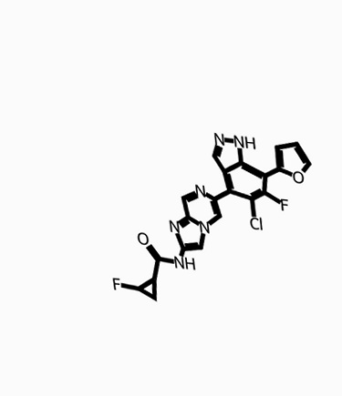 O=C(Nc1cn2cc(-c3c(Cl)c(F)c(-c4ccco4)c4[nH]ncc34)ncc2n1)C1CC1F